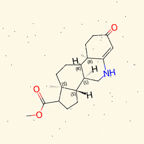 COC(=O)C1CC[C@H]2[C@@H]3CNC4=CC(=O)CC[C@]4(C)[C@@H]3CC[C@]12C